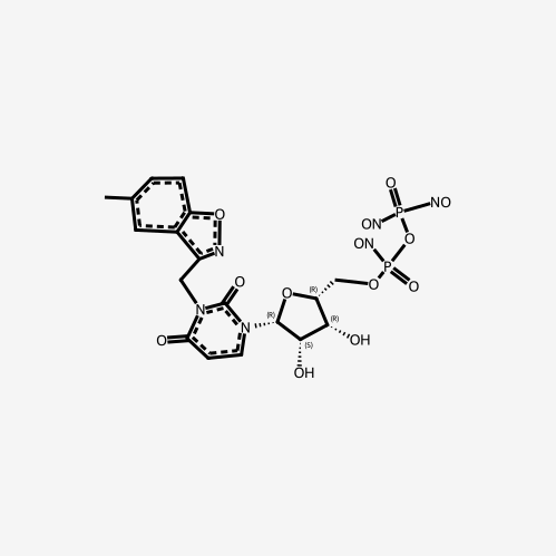 Cc1ccc2onc(Cn3c(=O)ccn([C@@H]4O[C@H](COP(=O)(N=O)OP(=O)(N=O)N=O)[C@H](O)[C@@H]4O)c3=O)c2c1